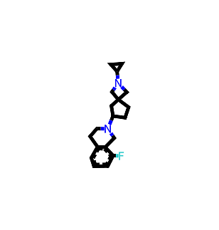 Fc1cccc2c1CN(C1CCC3(C1)CN(C1CC1)C3)CC2